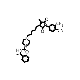 CC1=C(CCCCCN2CCN(C(=O)N[C@H](C)c3ccccc3)CC2)C(=O)N(c2ccc(C#N)c(C(F)(F)F)c2)C1=O